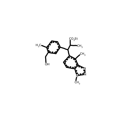 CCOC(=O)C(C)C(c1ccc(C)c(CO)c1)c1ccc2c(nnn2C)c1C